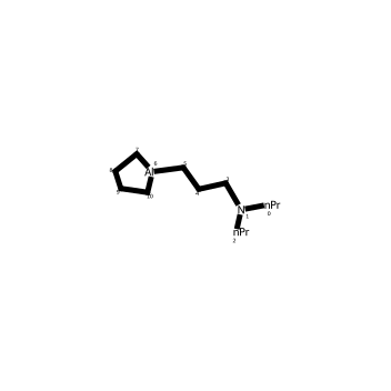 CCCN(CCC)CC[CH2][Al]1[CH2]CC[CH2]1